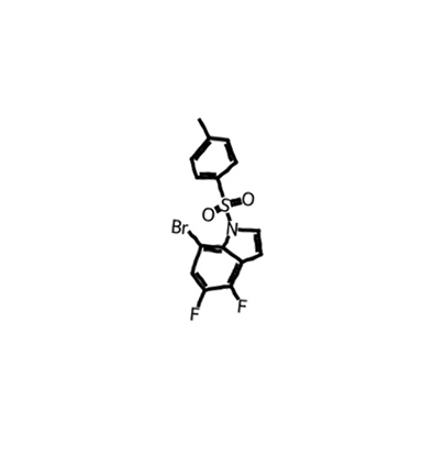 Cc1ccc(S(=O)(=O)n2ccc3c(F)c(F)cc(Br)c32)cc1